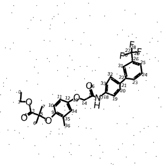 CCOC(=O)C(C)(C)Oc1ccc(OCC(=O)Nc2ccc(-c3cccc(C(F)(F)F)c3)cc2)cc1C